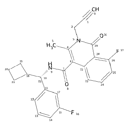 C#CCn1c(C)c(C(=O)N[C@H](c2cccc(F)c2)C2CCC2)c2cccc(F)c2c1=O